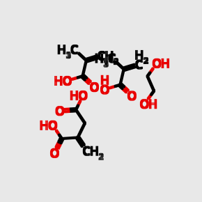 C=C(C)C(=O)O.C=C(C)C(=O)O.C=C(CC(=O)O)C(=O)O.OCCO